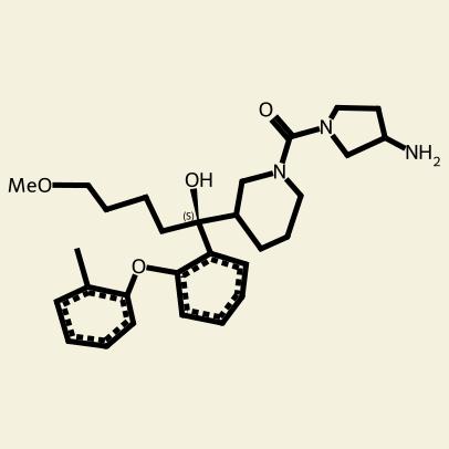 COCCCC[C@@](O)(c1ccccc1Oc1ccccc1C)C1CCCN(C(=O)N2CCC(N)C2)C1